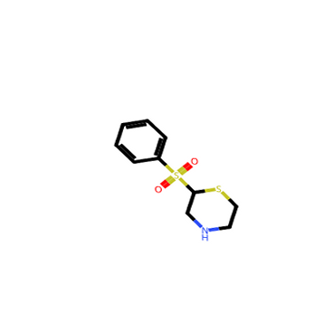 O=S(=O)(c1ccccc1)C1CNCCS1